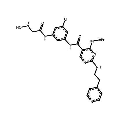 CCCNc1nc(NCCc2ccncc2)ncc1C(=O)Nc1cc(Cl)cc(NC(=O)CNO)c1